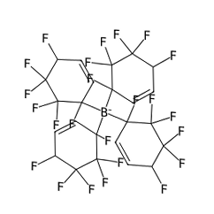 FC1C=CC(F)([B-](C2(F)C=CC(F)C(F)(F)C2(F)F)(C2(F)C=CC(F)C(F)(F)C2(F)F)C2(F)C=CC(F)C(F)(F)C2(F)F)C(F)(F)C1(F)F